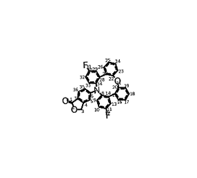 O=C1OCc2cc(N3c4ccc(F)cc4-c4ccccc4Oc4ccccc4-c4cc(F)ccc43)ccc21